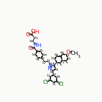 COc1ccc2cc(-c3cc(-c4cc(Cl)cc(Cl)c4)nn3CCc3ccc(C(=O)NCCC(=O)O)cc3)ccc2c1